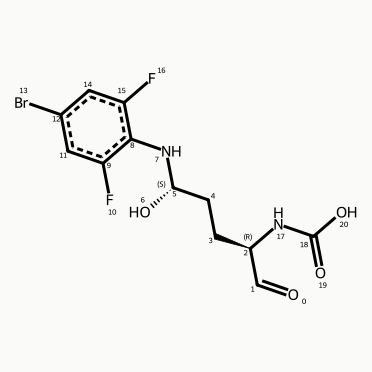 O=C[C@@H](CC[C@H](O)Nc1c(F)cc(Br)cc1F)NC(=O)O